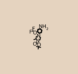 CC1CN(c2ccc(N)cc2OC(F)F)CCN1C(=O)OC(C)(C)C